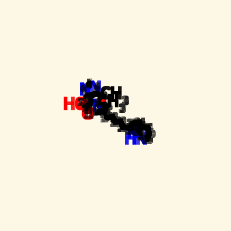 CC(C)c1ncncc1C(C(=O)O)N1CC[C@@H](CCCCCc2ccc3c(n2)NCCC3)C1